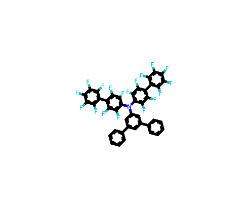 Fc1c(F)c(F)c(-c2c(F)c(F)c(N(c3cc(-c4ccccc4)cc(-c4ccccc4)c3)c3c(F)c(F)c(-c4c(F)c(F)c(F)c(F)c4F)c(F)c3F)c(F)c2F)c(F)c1F